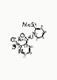 CSc1ccccn1.O=S(=O)=C1C=CC=NC1S(=O)(=O)Cl